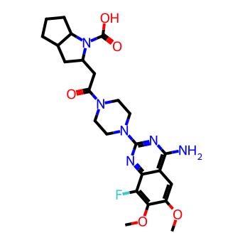 COc1cc2c(N)nc(N3CCN(C(=O)CC4CC5CCCC5N4C(=O)O)CC3)nc2c(F)c1OC